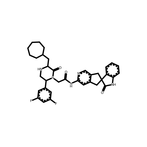 O=C(CN1C(=O)C(CC2CCCCCC2)NCC1c1cc(F)cc(F)c1)Nc1cc2c(cn1)CC1(C2)C(=O)Nc2ccccc21